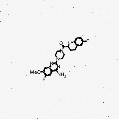 COc1cc2nc(N3CCN(C(=O)C4CCc5cc(F)ccc5O4)CC3)nc(N)c2cc1F